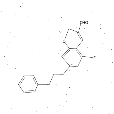 O=CC1=Cc2c(F)cc(CCCc3ccccc3)cc2OC1